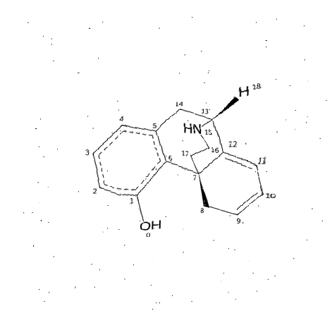 Oc1cccc2c1[C@@]13CC=CC=C1[C@@H](C2)NCC3